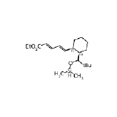 CCOC(=O)C=CC=C[C@H]1CCCC[C@H]1C(O[SiH](C)C)C(C)(C)C